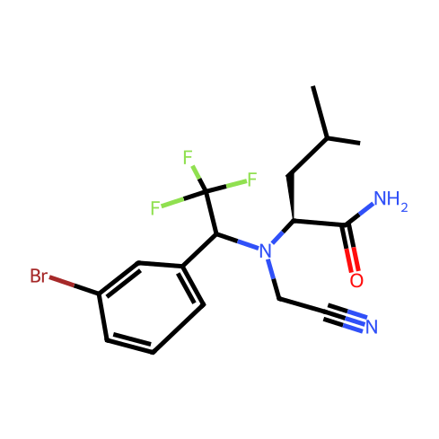 CC(C)C[C@@H](C(N)=O)N(CC#N)C(c1cccc(Br)c1)C(F)(F)F